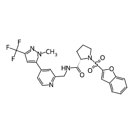 Cn1nc(C(F)(F)F)cc1-c1ccnc(CNC(=O)[C@@H]2CCCN2S(=O)(=O)c2cc3ccccc3o2)c1